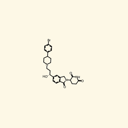 O=C1CCC(N2Cc3cc([C@H](O)CCN4CCC(c5ccc(Br)cc5)CC4)ccc3C2=O)C(=O)N1